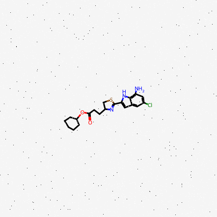 Nc1cc(Cl)cc2cc(C3=NC(CCC(=O)OC4CCCCC4)CS3)[nH]c12